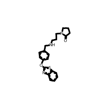 O=C1CCCN1CCCNCc1ccc(Oc2nc3ccccc3s2)cc1